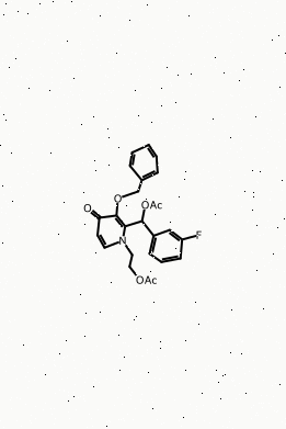 CC(=O)OCCn1ccc(=O)c(OCc2ccccc2)c1C(OC(C)=O)c1cccc(F)c1